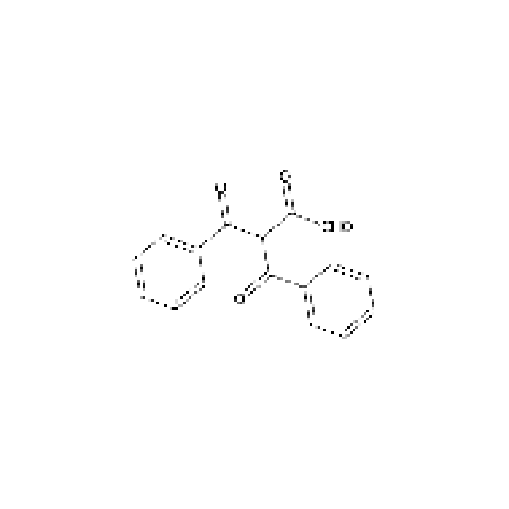 O=CC(=O)C(C(=O)c1ccccc1)C(=O)c1ccccc1